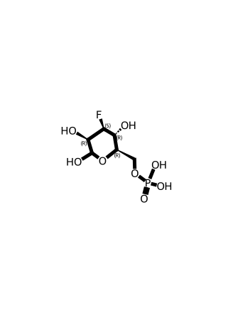 O=P(O)(O)OC[C@H]1OC(O)[C@@H](O)[C@@H](F)[C@@H]1O